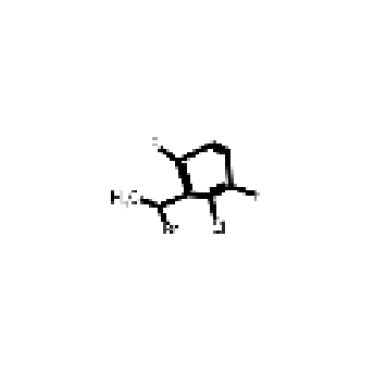 CC(Br)c1c(F)ccc(F)c1Cl